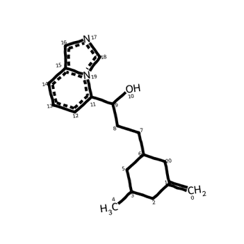 C=C1CC(C)CC(CCC(O)c2cccc3cncn23)C1